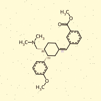 COC(=O)c1cccc(/C=C2\CC[C@@H](CN(C)C)[C@@H](c3cccc(OC)c3)C2)c1